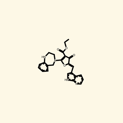 CCOC(=O)C1=C(N2CCNc3ccccc3C2)OC(=Cc2c[nH]c3ncccc23)C1=O